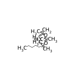 [CH2][Si](C)(C)O[Si](C)(C)O[Si](C)(C)CCCCC